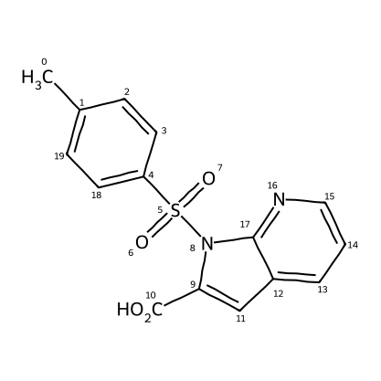 Cc1ccc(S(=O)(=O)n2c(C(=O)O)cc3cccnc32)cc1